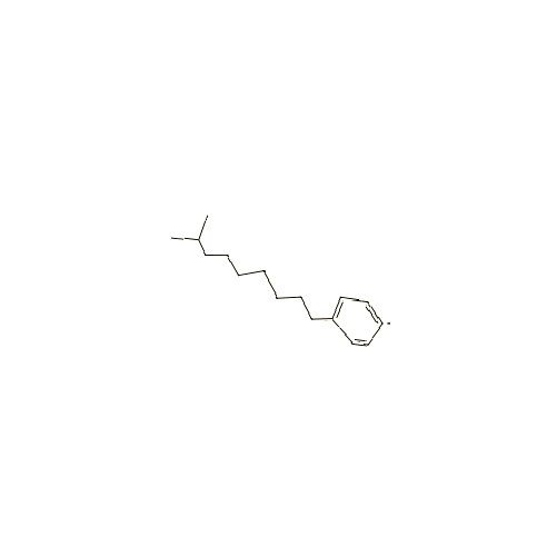 CC(C)CCCCCCCc1cc[c]cc1